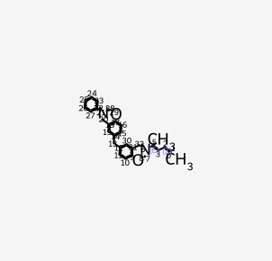 C/C=C\C=C(/C)N1COc2ccc(Cc3ccc4c(c3)CN(c3ccccc3)CO4)cc2C1